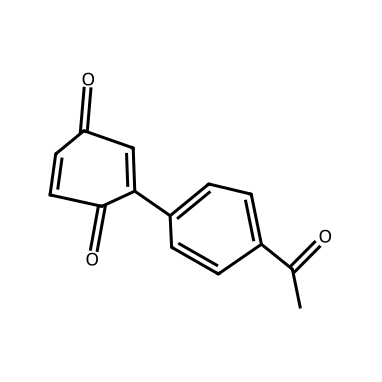 CC(=O)c1ccc(C2=CC(=O)C=CC2=O)cc1